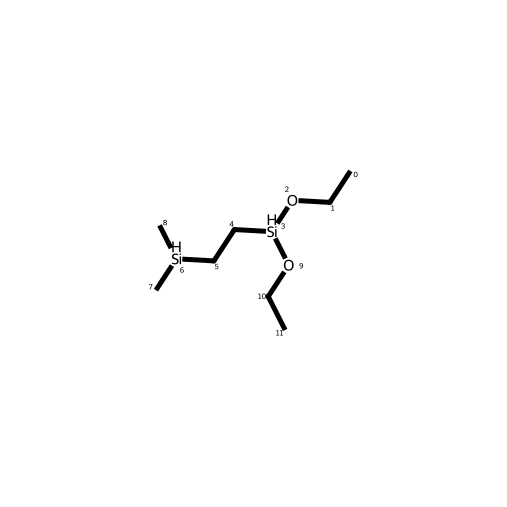 CCO[SiH](CC[SiH](C)C)OCC